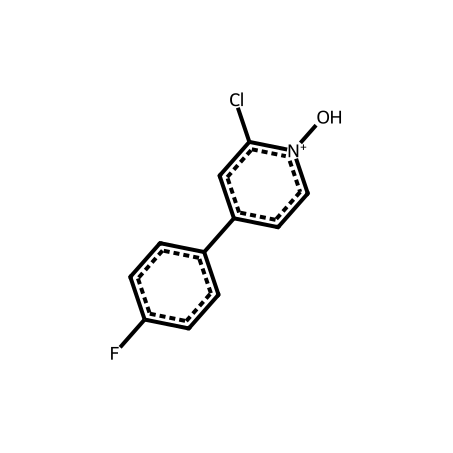 O[n+]1ccc(-c2ccc(F)cc2)cc1Cl